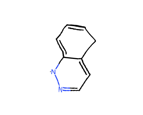 C1=CCC2=CC=N[N]C2=C1